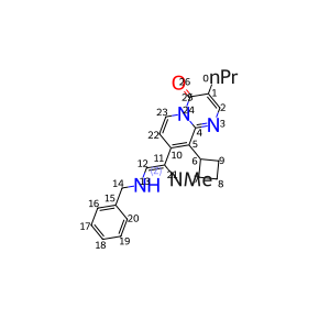 CCCc1cnc2c(C3CCC3)c(/C(=C/NCc3ccccc3)NC)ccn2c1=O